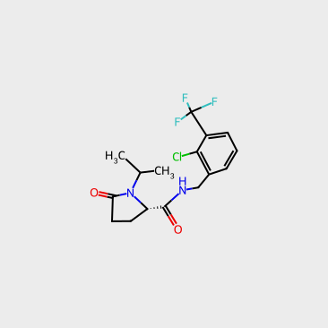 CC(C)N1C(=O)CC[C@H]1C(=O)NCc1cccc(C(F)(F)F)c1Cl